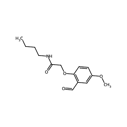 CCCCNC(=O)COc1ccc(OC)cc1C=O